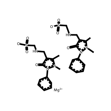 Cc1c(CNCS(=O)(=O)[O-])c(=O)n(-c2ccccc2)n1C.Cc1c(CNCS(=O)(=O)[O-])c(=O)n(-c2ccccc2)n1C.[Mg+2]